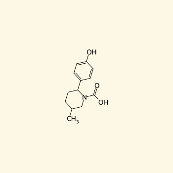 CC1CCC(c2ccc(O)cc2)N(C(=O)O)C1